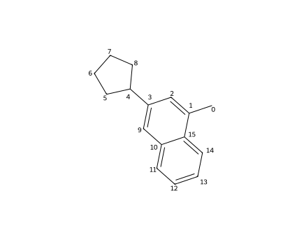 Cc1cc(C2CCCC2)cc2ccccc12